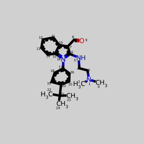 CN(C)CCNc1c(C=O)c2ccccc2n1-c1ccc(C(C)(C)C)cc1